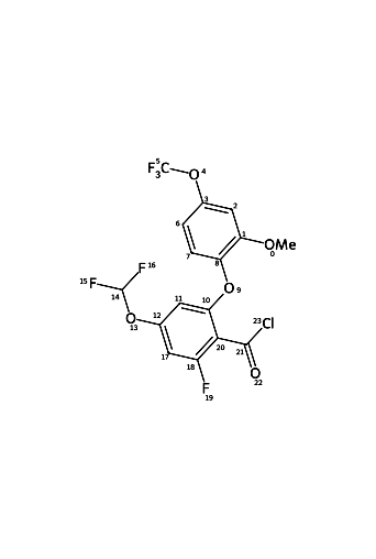 COc1cc(OC(F)(F)F)ccc1Oc1cc(OC(F)F)cc(F)c1C(=O)Cl